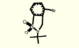 CC(C)(C)N1Cc2c(Br)cccc2S1(=O)=O